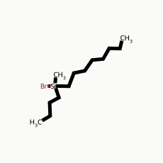 CCCCCCCC[Si](C)(Br)CCCC